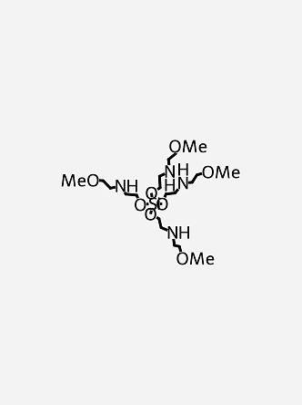 COCCNCCO[Si](OCCNCCOC)(OCCNCCOC)OCCNCCOC